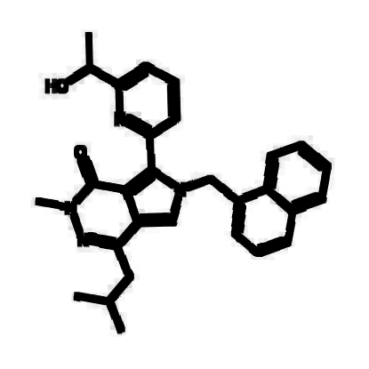 CC(C)Cc1nn(C)c(=O)c2c(-c3cccc(C(C)O)n3)n(Cc3cccc4ccccc34)cc12